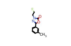 Cc1cccc(-c2nn(CCF)c(=O)o2)c1